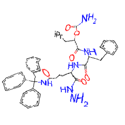 CC(C)CC(OC(N)=O)C(=O)NC(Cc1ccccc1)C(=O)NC(CCC(=O)NC(c1ccccc1)(c1ccccc1)c1ccccc1)C(=O)NN